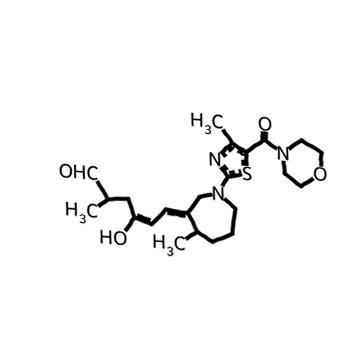 Cc1nc(N2CCCC(C)/C(=C\C=C(\O)CC(C)C=O)C2)sc1C(=O)N1CCOCC1